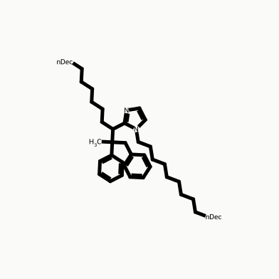 CCCCCCCCCCCCCCCCCCCn1ccnc1C(CCCCCCCCCCCCCCCC)C(C)(Cc1ccccc1)c1ccccc1